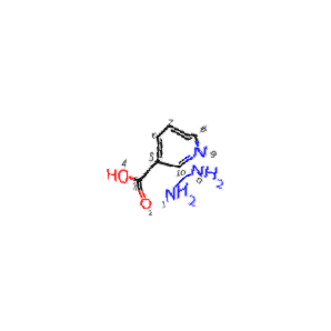 NN.O=C(O)c1cccnc1